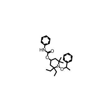 CCC1(CC)CC(OC(=O)Nc2ccccc2)CC(C)(C)N1OC(C)c1ccccc1